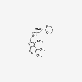 COC1(CCC2OCCCO2)CN(Cc2sc3nnc(C)c(C)c3c2N)C1